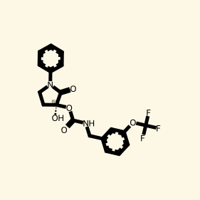 O=C(NCc1cccc(OC(F)(F)F)c1)O[C@@]1(O)CCN(c2ccccc2)C1=O